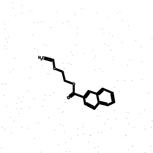 C=COCCOC(=O)c1ccc2ccccc2c1